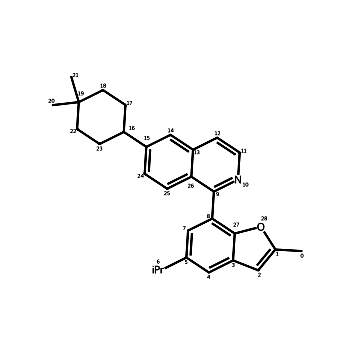 Cc1cc2cc(C(C)C)cc(-c3nccc4cc(C5CCC(C)(C)CC5)ccc34)c2o1